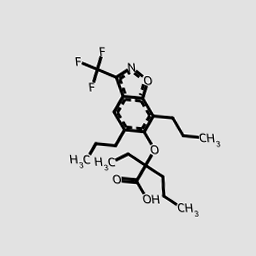 CCCc1cc2c(C(F)(F)F)noc2c(CCC)c1OC(CC)(CCC)C(=O)O